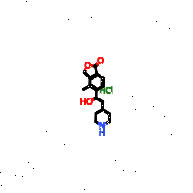 Cc1c(C(O)CC2CCNCC2)ccc2c1COC2=O.Cl